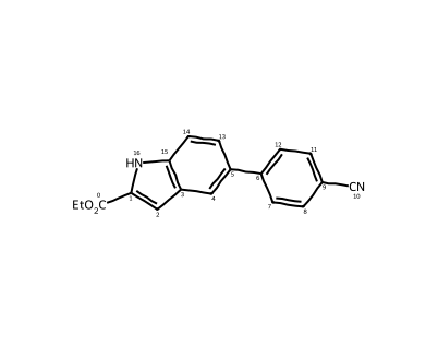 CCOC(=O)c1cc2cc(-c3ccc(C#N)cc3)ccc2[nH]1